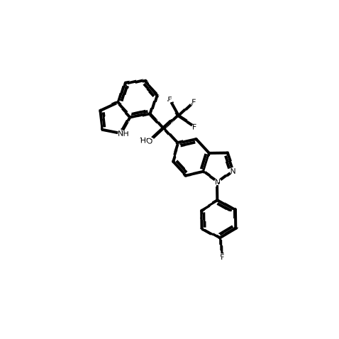 OC(c1ccc2c(cnn2-c2ccc(F)cc2)c1)(c1cccc2cc[nH]c12)C(F)(F)F